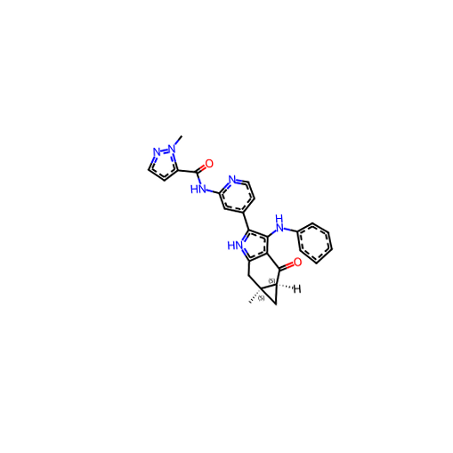 Cn1nccc1C(=O)Nc1cc(-c2[nH]c3c(c2Nc2ccccc2)C(=O)[C@H]2C[C@@]2(C)C3)ccn1